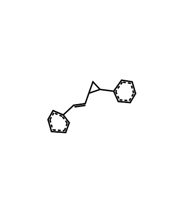 C(=CC1CC1c1ccccc1)c1ccccc1